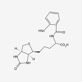 O=C1N[C@H]2[C@H](CS[C@H]2CCCC(NC(=O)c2cccc[c]2[SnH])C(=O)O)N1